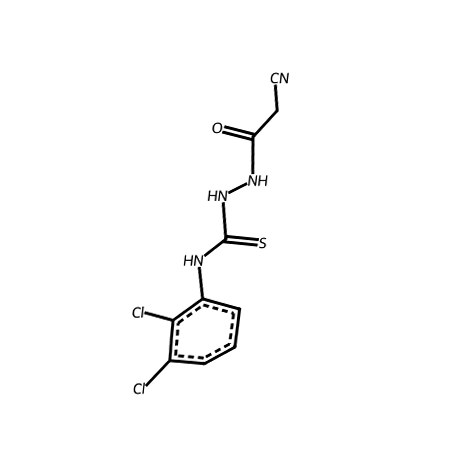 N#CCC(=O)NNC(=S)Nc1cccc(Cl)c1Cl